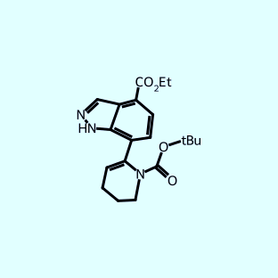 CCOC(=O)c1ccc(C2=CCCCN2C(=O)OC(C)(C)C)c2[nH]ncc12